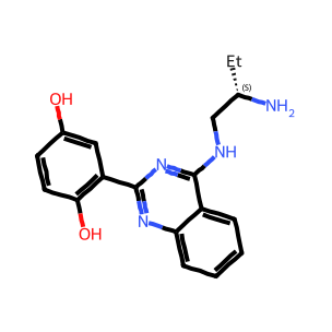 CC[C@H](N)CNc1nc(-c2cc(O)ccc2O)nc2ccccc12